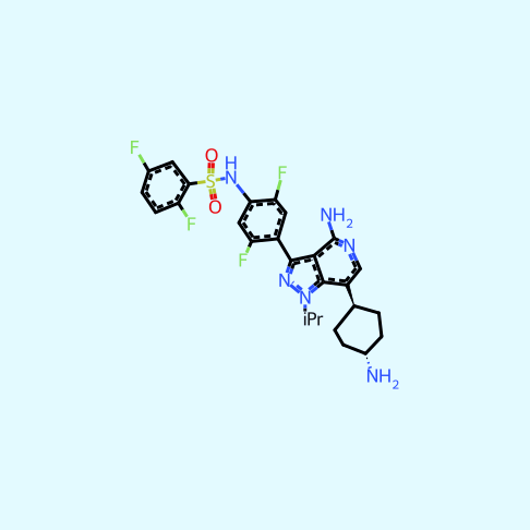 CC(C)n1nc(-c2cc(F)c(NS(=O)(=O)c3cc(F)ccc3F)cc2F)c2c(N)ncc([C@H]3CC[C@H](N)CC3)c21